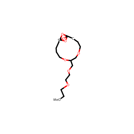 COCCOCCOCC1COCCCC23O[Si](CCCO1)(O2)O3